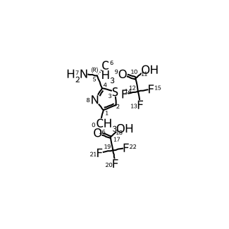 Cc1csc([C@@H](C)N)n1.O=C(O)C(F)(F)F.O=C(O)C(F)(F)F